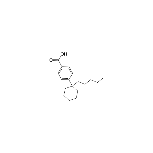 CCCCCC1(c2ccc(C(=O)O)cc2)CCCCC1